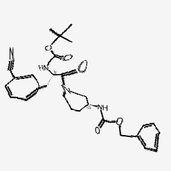 CC(C)(C)OC(=O)N[C@@H](Cc1cccc(C#N)c1)C(=O)N1CCC[C@H](NC(=O)OCc2ccccc2)C1